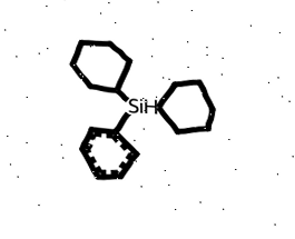 c1ccc([SiH](C2CCCCC2)C2CCCCC2)cc1